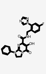 O=C(NCc1ccc(F)cc1-n1cncn1)c1nc2n(c(=O)c1O)CCN2c1ccccc1